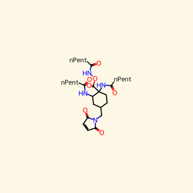 CCCCCC(=O)NOC(=O)C1(NC(=O)CCCCC)CCC(CN2C(=O)C=CC2=O)CC1NC(=O)CCCCC